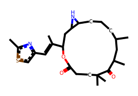 CC(=Cc1csc(C)n1)C1CC2NC2CCCC(C)CC(C)C(=O)C(C)(C)CCC(=O)O1